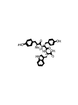 N[C@@H](Cc1ccc(O)cc1)C(=O)N[C@@H](Cc1ccc(O)cc1)C(=O)N[C@@H](Cc1c[nH]c2ccccc12)C(=O)O